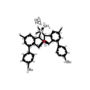 CCC1=Cc2c(-c3ccc(C(C)(C)C)cc3)cc(C)cc2[CH]1[Zr]([CH3])([CH3])(=[SiH2])[CH]1C(C)=Cc2c(-c3ccc(C(C)(C)C)cc3)cc(C)cc21.Cl.Cl